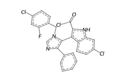 O=C(Cl)c1[nH]c2cc(Cl)ccc2c1-c1c(-c2ccccc2)ncn1Cc1ccc(Cl)cc1F